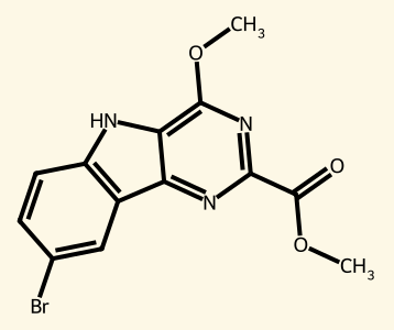 COC(=O)c1nc(OC)c2[nH]c3ccc(Br)cc3c2n1